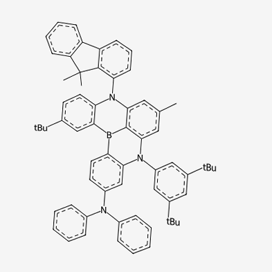 Cc1cc2c3c(c1)N(c1cccc4c1C(C)(C)c1ccccc1-4)c1ccc(C(C)(C)C)cc1B3c1ccc(N(c3ccccc3)c3ccccc3)cc1N2c1cc(C(C)(C)C)cc(C(C)(C)C)c1